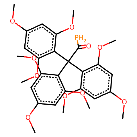 COc1cc(OC)c(C(C(=O)P)(c2c(OC)cc(OC)cc2OC)c2c(OC)cc(OC)cc2OC)c(OC)c1